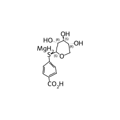 O=C(O)c1ccc(S[C@@H]2OC[C@@H](O)[C@H](O)[C@H]2O)cc1.[MgH2]